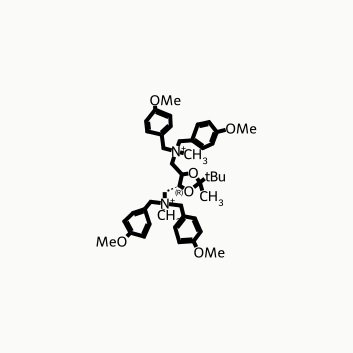 COc1ccc(C[N+](C)(Cc2ccc(OC)cc2)CC2OC(C)(C(C)(C)C)O[C@@H]2C[N+](C)(Cc2ccc(OC)cc2)Cc2ccc(OC)cc2)cc1